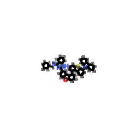 N/C(=N\C(=N/Cc1ccccc1)c1ccccc1)c1ccc2oc3cccc(-c4cccc5sc6c(-n7c8ccccc8c8ccccc87)cccc6c45)c3c2c1